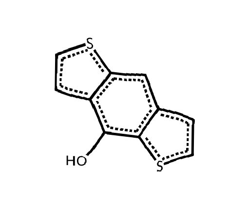 Oc1c2ccsc2cc2ccsc12